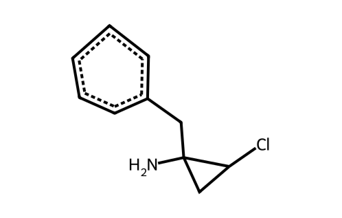 NC1(Cc2ccccc2)CC1Cl